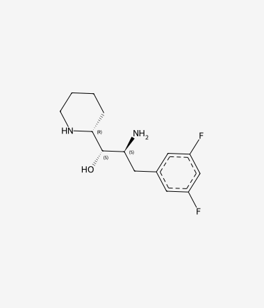 N[C@@H](Cc1cc(F)cc(F)c1)[C@H](O)[C@H]1CCCCN1